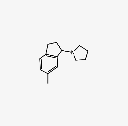 Cc1ccc2c(c1)C(N1CCCC1)CC2